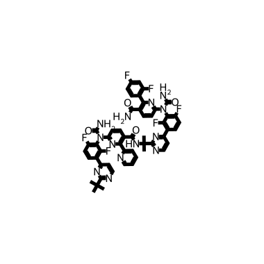 CC(C)(C)c1nccc(-c2ccc(F)c(N(C(N)=O)c3ccc(C(=O)NC(C)(C)c4nccc(-c5ccc(F)c(N(C(N)=O)c6ccc(C(N)=O)c(-c7ccc(F)cc7F)n6)c5F)n4)c(-c4ccccn4)n3)c2F)n1